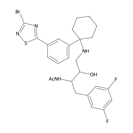 CC(=O)NC(Cc1cc(F)cc(F)c1)C(O)CNC1(c2cccc(-c3nc(Br)ns3)c2)CCCCC1